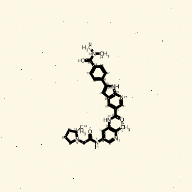 Cc1ncc(NC(=O)CN2CCC[C@@H]2C)cc1NC(=O)c1cnc2[nH]c(-c3ccc(C(=O)N(C)C)cc3)cc2c1